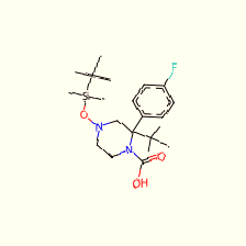 CC(C)(C)C1(c2ccc(F)cc2)CN(O[Si](C)(C)C(C)(C)C)CCN1C(=O)O